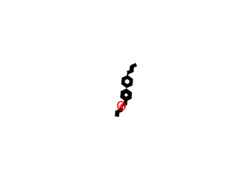 C=CCOCc1ccc([C@H]2CC[C@H](CC=CC)CC2)cc1